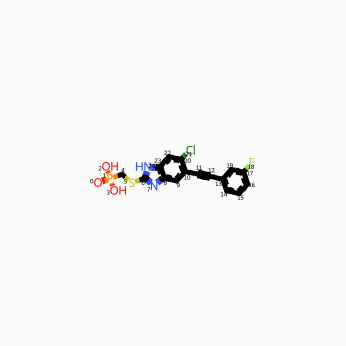 O=P(O)(O)CSc1nc2cc(C#Cc3cccc(F)c3)c(Cl)cc2[nH]1